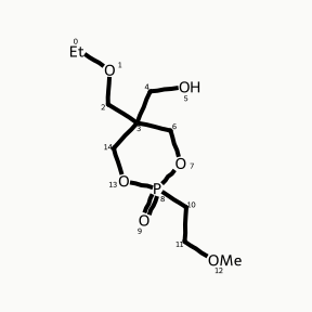 CCOCC1(CO)COP(=O)(CCOC)OC1